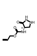 C=CCOC(=O)N[C@H]1CNNC1=O